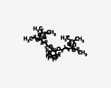 CCO[Si](C=CCOC1=C(OCC=C[Si](OCC)(OCC)OCC)C(F)(F)C(F)(F)C1(F)F)(OCC)OCC